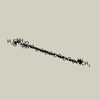 CC(=O)[C@@H](N)CSSCCC(=O)NCCOCCOCCOCCOCCOCCOCCOCCOCCOCCOCCn1cc(C)nn1